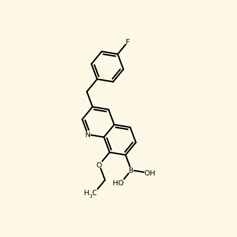 CCOc1c(B(O)O)ccc2cc(Cc3ccc(F)cc3)cnc12